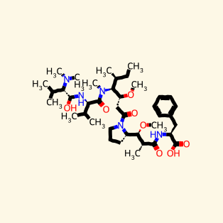 CC[C@H](C)[C@@H]([C@@H](CC(=O)N1CCC[C@H]1[C@H](OC)[C@@H](C)C(=O)N[C@@H](Cc1ccccc1)C(=O)O)OC)N(C)C(=O)[C@@H](NC(O)[C@H](C(C)C)N(C)C)C(C)C